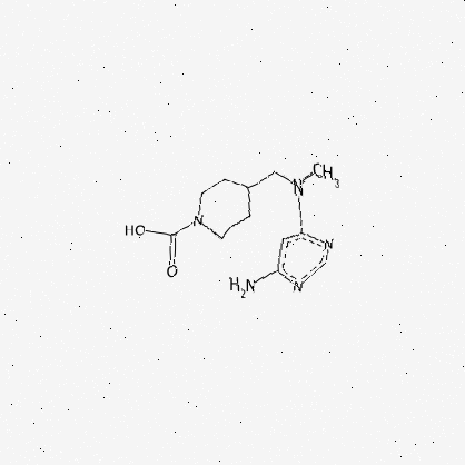 CN(CC1CCN(C(=O)O)CC1)c1cc(N)ncn1